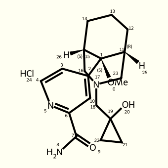 CO[C@]1(c2ccnc(C(N)=O)c2)[C@@H]2CCC[C@H]1CN(CC1(O)CC1)C2.Cl